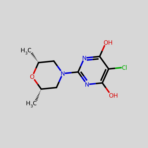 C[C@@H]1CN(c2nc(O)c(Cl)c(O)n2)C[C@H](C)O1